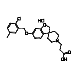 Cc1ccc(Cl)c(COc2ccc3c(c2)OCC32CCN(CCC(=O)O)CC2)c1.Cl